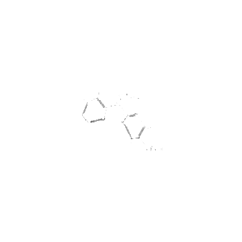 CCCCCCCCCc1ccc(N(CCCCCCCCC)c2ccccc2)cc1